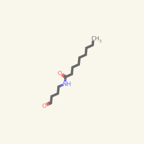 CCCCCCCCC(=O)NCCCC=O